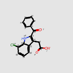 O=C(O)Cc1c(C(=O)c2ccccc2)[nH]c2c(Cl)cccc12